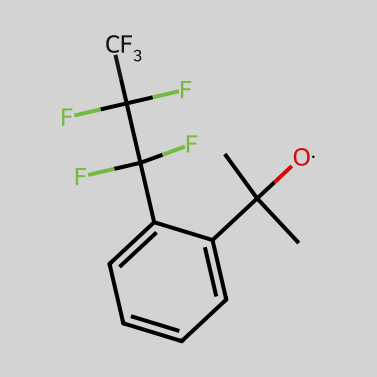 CC(C)([O])c1ccccc1C(F)(F)C(F)(F)C(F)(F)F